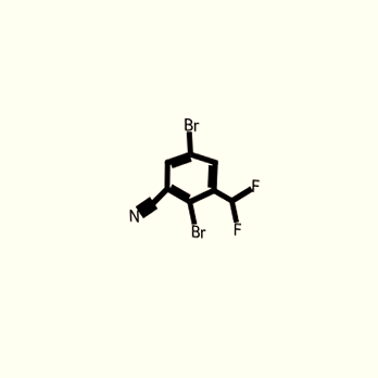 N#Cc1cc(Br)cc(C(F)F)c1Br